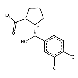 O=C(O)N1CCC[C@@H]1C(O)c1ccc(Cl)c(Cl)c1